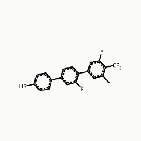 Cc1cc(-c2ccc(-c3ccc(S)cc3)cc2F)cc(F)c1C(F)(F)F